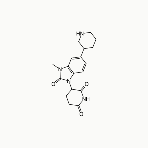 Cn1c(=O)n(C2CCC(=O)NC2=O)c2ccc(C3CCCNC3)cc21